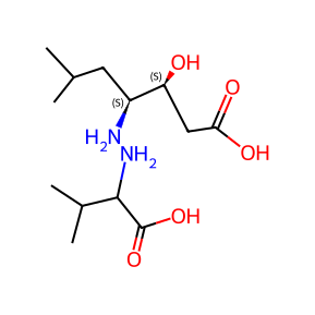 CC(C)C(N)C(=O)O.CC(C)C[C@H](N)[C@@H](O)CC(=O)O